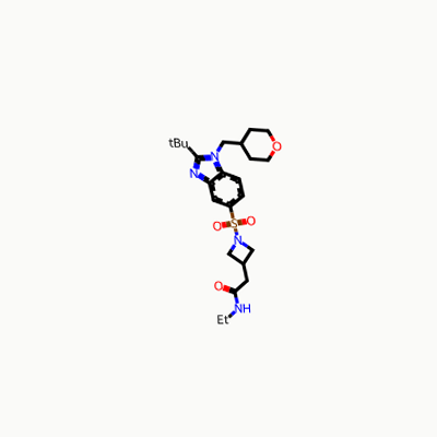 CCNC(=O)CC1CN(S(=O)(=O)c2ccc3c(c2)nc(C(C)(C)C)n3CC2CCOCC2)C1